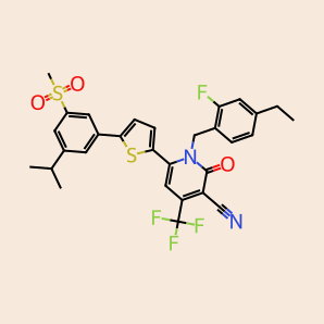 CCc1ccc(Cn2c(-c3ccc(-c4cc(C(C)C)cc(S(C)(=O)=O)c4)s3)cc(C(F)(F)F)c(C#N)c2=O)c(F)c1